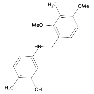 COc1ccc(CNc2ccc(C)c(O)c2)c(OC)c1C